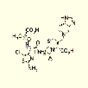 C[C@H](O/N=C(\C(=O)N[C@@H]1C(=O)N2C(C(=O)O)=C(C[n+]3ccc4[nH]cnc4c3)CSC12)c1nc(N)sc1Cl)C(=O)O